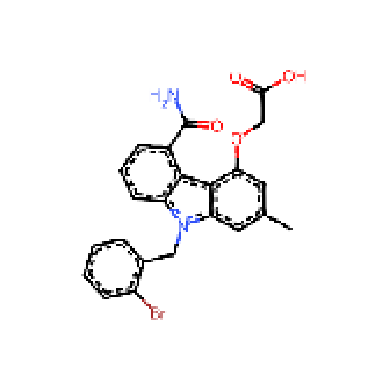 Cc1cc(OCC(=O)O)c2c3c(C(N)=O)cccc3n(Cc3ccccc3Br)c2c1